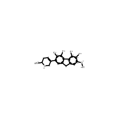 CCCC1CC=C(c2cc3c(c(F)c2F)-c2c(cc(OCC)c(F)c2F)C3)CO1